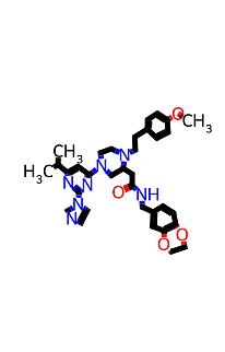 COc1ccc(CCN2CCN(c3cc(C(C)C)nc(-n4ccnc4)n3)CC2CC(=O)NCc2ccc3c(c2)OCCO3)cc1